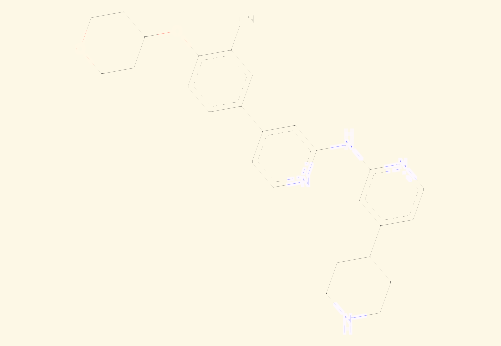 N#Cc1cc(-c2ccnc(Nc3cc(C4CCNCC4)ccn3)c2)ccc1OC1CCOCC1